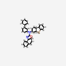 c1ccc(-c2cccc(N(c3ccc4c(c3)sc3ccccc34)c3nc4c(ccc5ccccc54)o3)c2)cc1